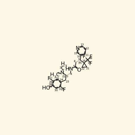 CN(C)[C@H](CNC(=O)C[C@H](c1cccnc1)C1(C(F)(F)F)CC1)Cc1cc(F)c(O)cc1F